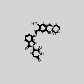 Bc1cc(CN2CCOCC2)c(B)cc1COc1cccc2c1CN(C1CCC(=O)NC1=O)C2=O